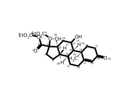 CCOC(=O)OC(=O)C1(OC(=O)OCC)CC[C@H]2[C@@H]3CCC4=CC(=O)CC[C@]4(C)[C@@H]3C(O)C[C@@]21C